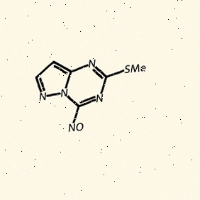 CSc1nc(N=O)n2nccc2n1